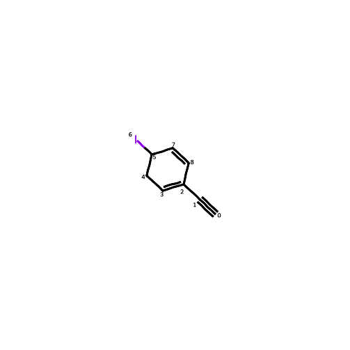 C#CC1=CCC(I)C=C1